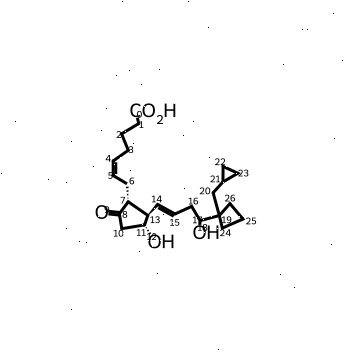 O=C(O)CCC/C=C\C[C@H]1C(=O)C[C@@H](O)[C@@H]1/C=C/CC(O)C1(CC2CC2)CCC1